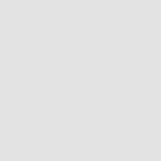 CC(C)(C)C(F)(F)CC(F)(F)C(F)F